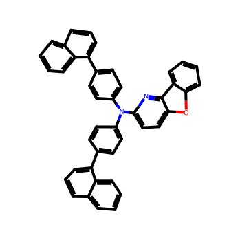 c1ccc2c(-c3ccc(N(c4ccc(-c5cccc6ccccc56)cc4)c4ccc5oc6ccccc6c5n4)cc3)cccc2c1